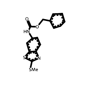 CSc1nc2ccc(NC(=O)OCc3ccccc3)cc2s1